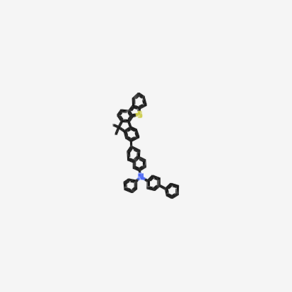 CC1(C)c2cc(-c3ccc4cc(N(c5ccccc5)c5ccc(-c6ccccc6)cc5)ccc4c3)ccc2-c2c1ccc1c2sc2ccccc21